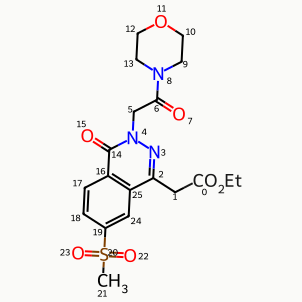 CCOC(=O)Cc1nn(CC(=O)N2CCOCC2)c(=O)c2ccc(S(C)(=O)=O)cc12